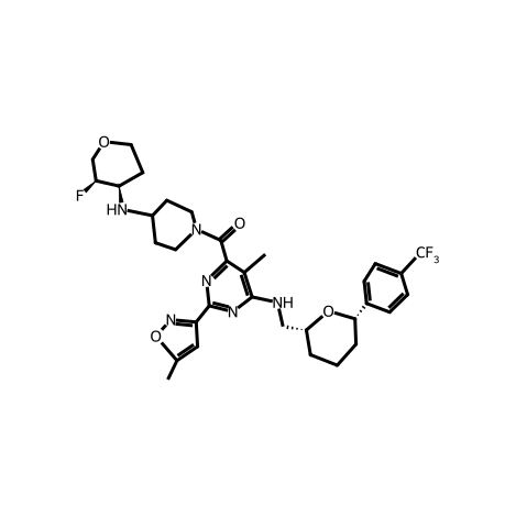 Cc1cc(-c2nc(NC[C@H]3CCC[C@@H](c4ccc(C(F)(F)F)cc4)O3)c(C)c(C(=O)N3CCC(N[C@@H]4CCOC[C@@H]4F)CC3)n2)no1